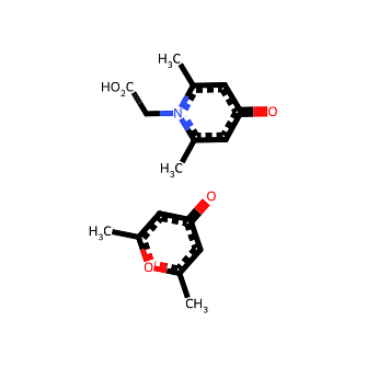 Cc1cc(=O)cc(C)n1CC(=O)O.Cc1cc(=O)cc(C)o1